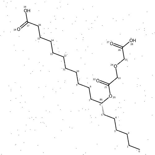 CCCCCC[C@H](CCCCCCCCCCC(=O)O)OC(=O)COCC(=O)O